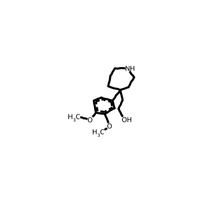 COc1ccc(C2(CCO)CCCNCC2)cc1OC